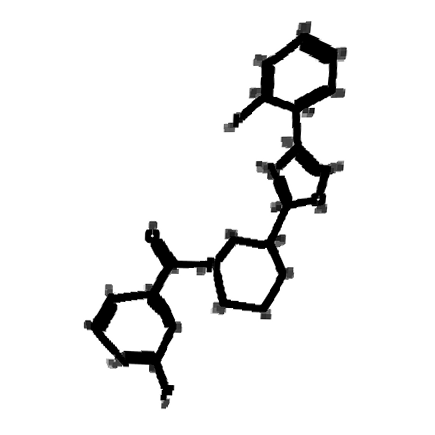 O=C(c1ccnc(F)c1)N1CCCC(c2nc(-c3ccccc3F)co2)C1